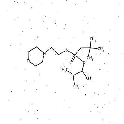 CC(C)C(C)OP(=O)(CC(C)(C)C)SCCN1CCOCC1